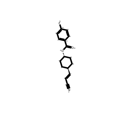 N#CC=C[C@H]1CC[C@H](OC(=O)c2ccc(F)cc2)CC1